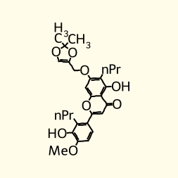 CCCc1c(-c2cc(=O)c3c(O)c(CCC)c(OCC4=COC(C)(C)O4)cc3o2)ccc(OC)c1O